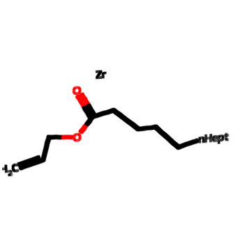 C=CCOC(=O)CCCCCCCCCCC.[Zr]